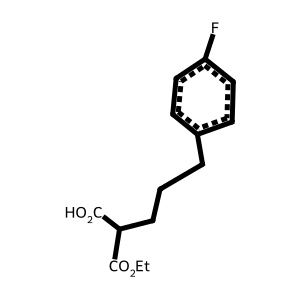 CCOC(=O)C(CCCc1ccc(F)cc1)C(=O)O